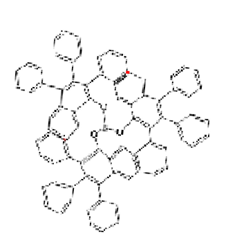 c1ccc(-c2c(-c3ccccc3)c(-c3ccccc3)c3ccccc3c2OB(Oc2c(-c3ccccc3)c(-c3ccccc3)c(-c3ccccc3)c3ccccc23)Oc2c(-c3ccccc3)c(-c3ccccc3)c(-c3ccccc3)c3ccccc23)cc1